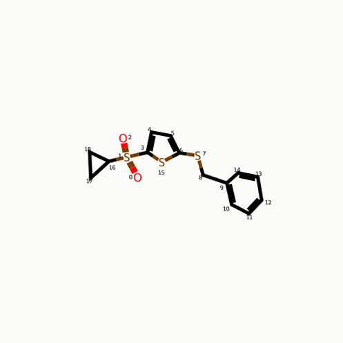 O=S(=O)(c1ccc(SCc2ccccc2)s1)C1CC1